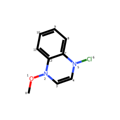 CON1C=CN(Cl)c2ccccc21